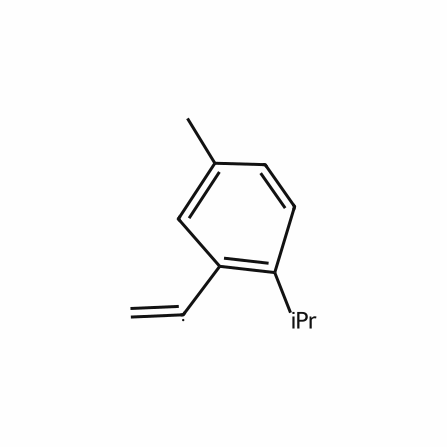 C=[C]c1cc(C)ccc1C(C)C